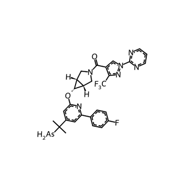 CC(C)([AsH2])c1cc(O[C@@H]2[C@@H]3CN(C(=O)c4cn(-c5ncccn5)nc4C(F)(F)F)C[C@@H]32)nc(-c2ccc(F)cc2)c1